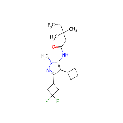 Cn1nc(C2CC(F)(F)C2)c(C2CCC2)c1NC(=O)CC(C)(C)CC(F)(F)F